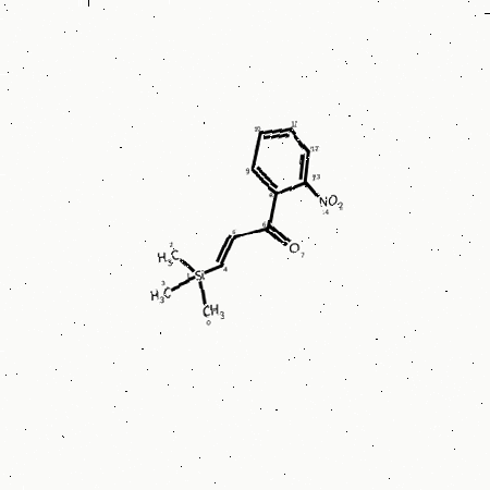 C[Si](C)(C)C=CC(=O)c1ccccc1[N+](=O)[O-]